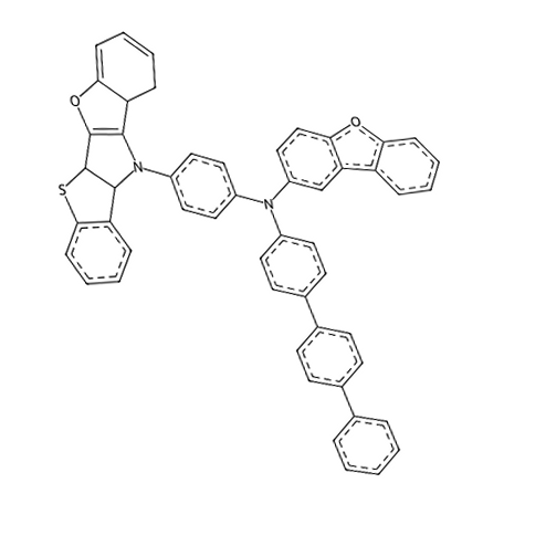 C1=CCC2C(=C1)OC1=C2N(c2ccc(N(c3ccc(-c4ccc(-c5ccccc5)cc4)cc3)c3ccc4oc5ccccc5c4c3)cc2)C2c3ccccc3SC12